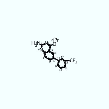 CC(C)Oc1nc(N)nc2ccc(-c3cccc(C(F)(F)F)c3)cc12